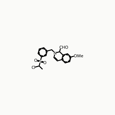 COc1ccc2c(c1)C(C=O)N(Cc1cccc(S(=O)(=O)C(C)Cl)c1)C=C2